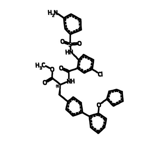 COC(=O)[C@H](Cc1ccc(-c2ccccc2Oc2ccccc2)cc1)NC(=O)c1cc(Cl)ccc1NS(=O)(=O)c1cccc(N)c1